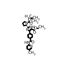 CCOC(=O)c1[nH]c([C@@H]2CCCN2C(=O)OC(C)(C)C)nc1-c1ccc(C(=O)Nc2ccc(C)cn2)cc1